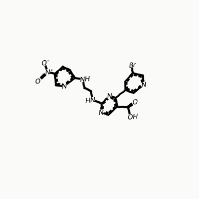 O=C(O)c1cnc(NCCNc2ccc([N+](=O)[O-])cn2)nc1-c1cncc(Br)c1